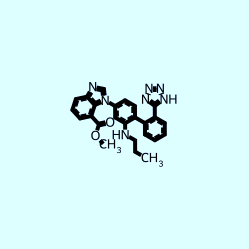 CCCNc1cc(-n2cnc3cccc(C(=O)OC)c32)ccc1-c1ccccc1-c1nnn[nH]1